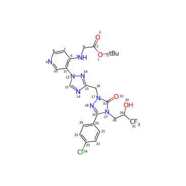 CC(C)(C)OC(=O)CNc1ccncc1-n1cnc(Cn2nc(-c3ccc(Cl)cc3)n(CC(O)C(F)(F)F)c2=O)n1